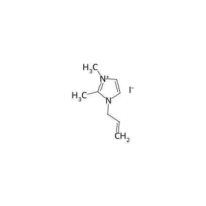 C=CCn1cc[n+](C)c1C.[I-]